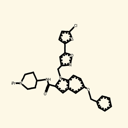 CC(C)N1CCC(NC(=O)c2cc3cc(OCc4ccccc4)ccc3n2Cc2cc(-c3ccc(Cl)s3)on2)CC1